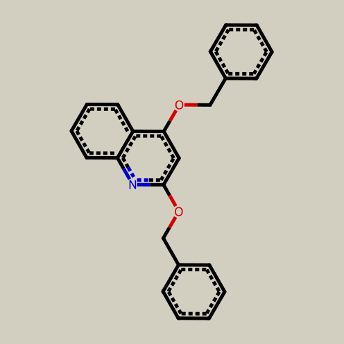 c1ccc(COc2cc(OCc3ccccc3)c3ccccc3n2)cc1